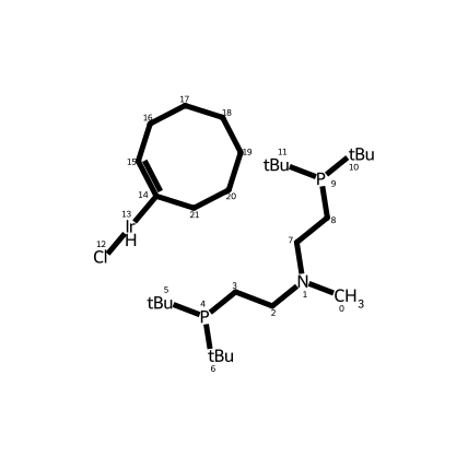 CN(CCP(C(C)(C)C)C(C)(C)C)CCP(C(C)(C)C)C(C)(C)C.[Cl][IrH]/[C]1=C/CCCCCC1